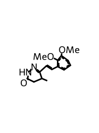 COc1cccc(C=CC2=NNC(=O)CC2C)c1OC